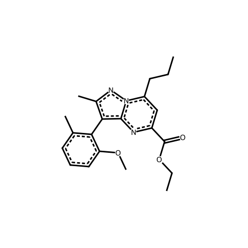 CCCc1cc(C(=O)OCC)nc2c(-c3c(C)cccc3OC)c(C)nn12